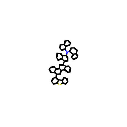 c1ccc2c(N(c3cccc4ccccc34)c3ccc(-c4cc5c6ccccc6c(-c6cccc7sc8ccccc8c67)cc5c5ccccc45)c4ccccc34)cccc2c1